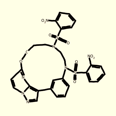 O=[N+]([O-])c1ccccc1S(=O)(=O)N1CCCOc2ccn3ncc(c3n2)-c2cccc(c2)N(S(=O)(=O)c2ccccc2[N+](=O)[O-])CC1